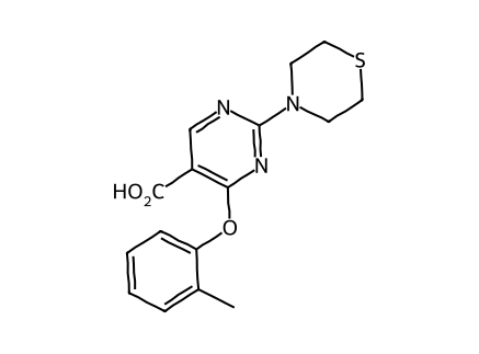 Cc1ccccc1Oc1nc(N2CCSCC2)ncc1C(=O)O